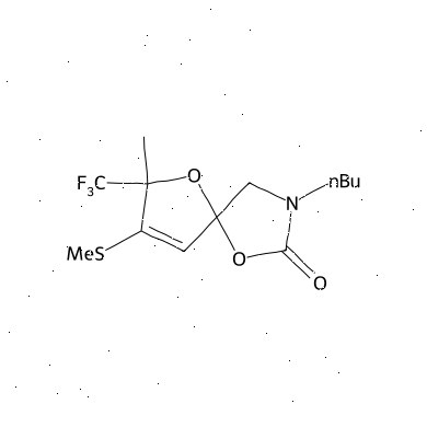 CCCCN1CC2(C=C(SC)C(C)(C(F)(F)F)O2)OC1=O